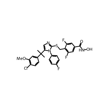 COc1cc(C(C)(C)c2cnc(SCc3c(F)cc(C(=O)NO)cc3F)n2-c2ccc(F)cc2)ccc1Cl